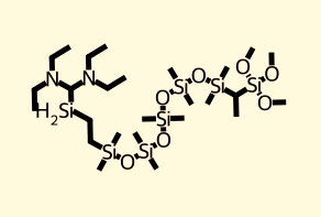 CCN(CC)C([SiH2]CC[Si](C)(C)O[Si](C)(C)O[Si](C)(C)O[Si](C)(C)O[Si](C)(C)C(C)[Si](OC)(OC)OC)N(CC)CC